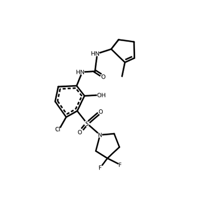 CC1=CCCC1NC(=O)Nc1ccc(Cl)c(S(=O)(=O)N2CCC(F)(F)C2)c1O